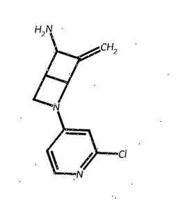 C=C1C(N)C2CN(c3ccnc(Cl)c3)C12